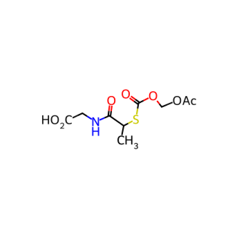 CC(=O)OCOC(=O)SC(C)C(=O)NCC(=O)O